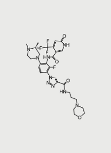 C[C@H]1CN(c2ccc(-n3cc(C(=O)NCCCN4CCOCC4)nn3)c(F)c2NC(=O)c2c[nH]c(=O)cc2C(F)(F)F)CCN1C